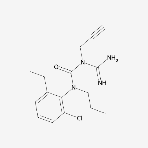 C#CCN(C(=N)N)C(=O)N(CCC)c1c(Cl)cccc1CC